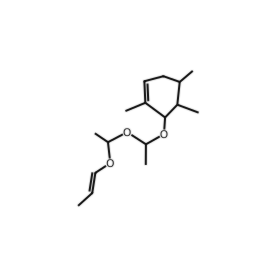 CC=COC(C)OC(C)OC1C(C)=CCC(C)C1C